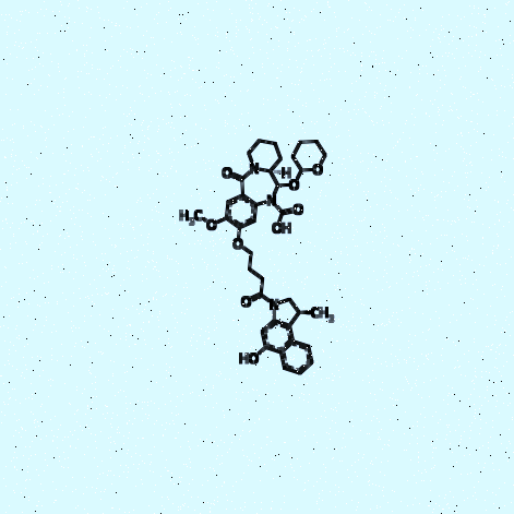 COc1cc2c(cc1OCCCC(=O)N1C[C@@H](C)c3c1cc(O)c1ccccc31)N(C(=O)O)C(OC1CCCCO1)[C@@H]1CCCCN1C2=O